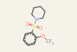 O=S(=O)(c1ccccc1OC(F)(F)F)N1CCCCC1